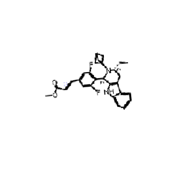 CC[C@@H]1Cc2c([nH]c3ccccc23)[C@@H](c2c(F)cc(/C=C/C(=O)OC)cc2F)N1C12CC(C1)C2